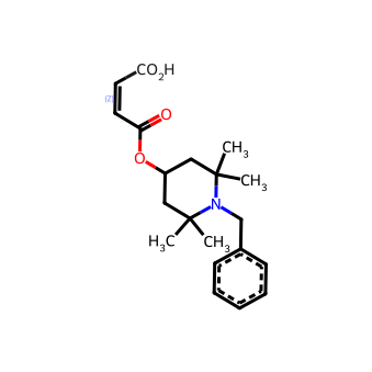 CC1(C)CC(OC(=O)/C=C\C(=O)O)CC(C)(C)N1Cc1ccccc1